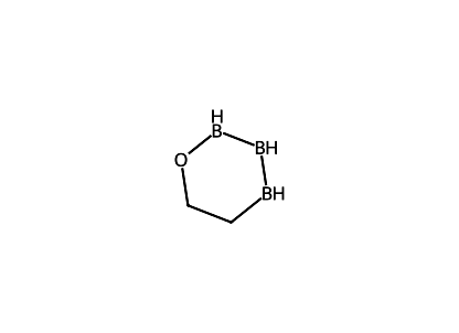 B1BCCOB1